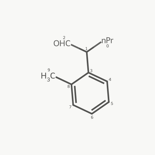 CCCC(C=O)c1ccccc1C